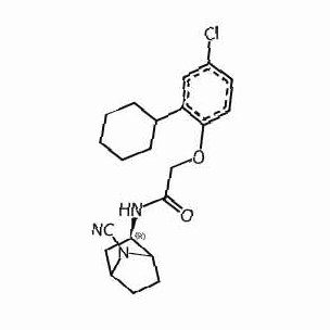 N#CN1C2CCC1[C@H](NC(=O)COc1ccc(Cl)cc1C1CCCCC1)C2